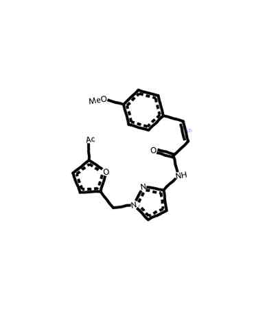 COc1ccc(/C=C\C(=O)Nc2ccn(Cc3ccc(C(C)=O)o3)n2)cc1